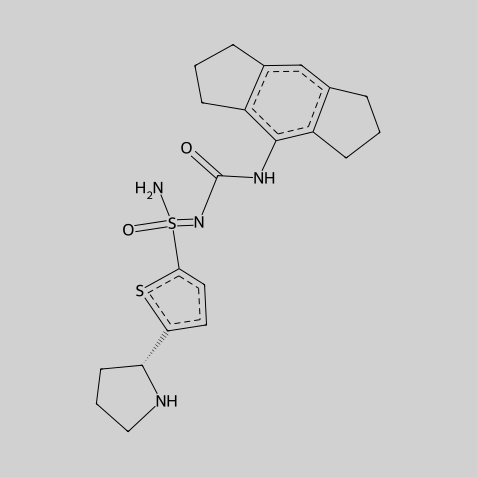 NS(=O)(=NC(=O)Nc1c2c(cc3c1CCC3)CCC2)c1ccc([C@H]2CCCN2)s1